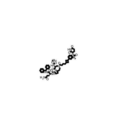 Cn1c(=O)n(C2CCC(=O)NC2=O)c2ccc(C3CC(CCCC(=O)N4CCC5=CC[C@@H](C(=O)N[C@@H](CCC(N)=O)C(=O)NC(c6ccccc6)c6ccccc6)N5C(=O)[C@@H](NC(=O)OC(C)(C)C)C4)C3)cc21